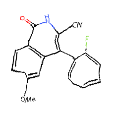 COc1ccc2c(=O)[nH]c(C#N)c(-c3ccccc3F)c2c1